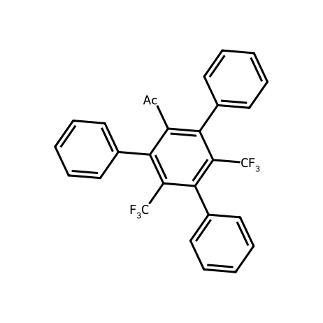 CC(=O)c1c(-c2ccccc2)c(C(F)(F)F)c(-c2ccccc2)c(C(F)(F)F)c1-c1ccccc1